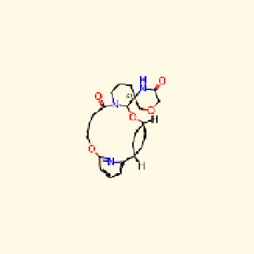 O=C1COC[C@@]2(CCCN3C(=O)CCCOc4cccc(n4)[C@H]4CC[C@H](CC4)OC32)N1